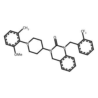 COc1cccc(C)c1N1CCC(N2Cc3ccccc3N(Cc3ccccc3C(F)(F)F)C2=O)CC1